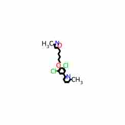 Cc1cc(CCCCCOc2c(Cl)cc(-c3cccc(C)n3)cc2Cl)on1